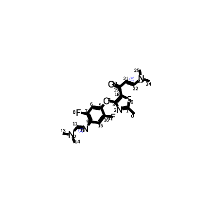 Cc1nc(Oc2cc(F)c(/N=C/N(C)C)cc2F)c(C(=O)/C=C/N(C)C)s1